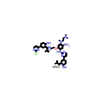 C=C(C)/C(NC)=C1\C=C(c2ccnc(Nc3cc(N)c(N(C)CCN(C)C)cc3OCCN/C(C(=C)C)=C3/C=C(c4ccnc(Cl)n4)C=CC3=N)n2)C=CC1=N